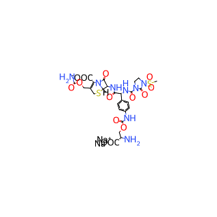 CS(=O)(=O)N1CCN(C(=O)N[C@@H](C(=O)N[C@@H]2C(=O)N3C(C(=O)[O-])=C(COC(N)=O)CS[C@@H]23)c2ccc(NC(=O)OC[C@@H](N)C(=O)[O-])cc2)C1=O.[Na+].[Na+]